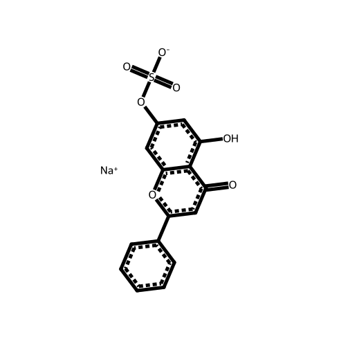 O=c1cc(-c2ccccc2)oc2cc(OS(=O)(=O)[O-])cc(O)c12.[Na+]